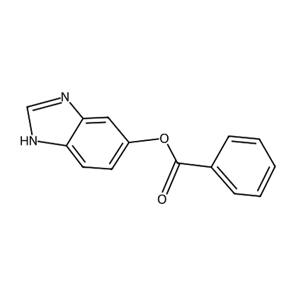 O=C(Oc1ccc2[nH]cnc2c1)c1ccccc1